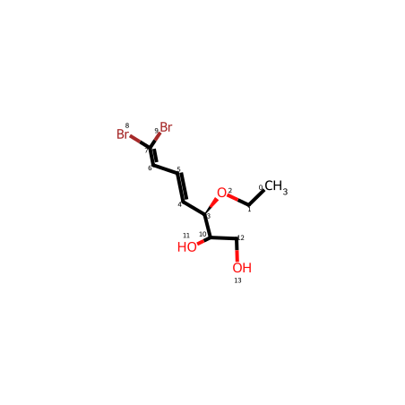 CCO[C@H](/C=C/C=C(Br)Br)C(O)CO